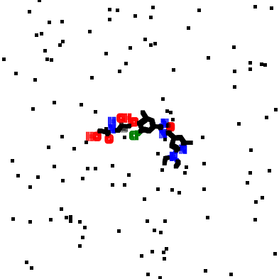 CCN(CC)c1cc(-c2nc(-c3cc(C)c(OC[C@H](O)CNC(=O)CO)c(Cl)c3)no2)cc(C)n1